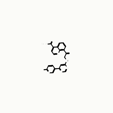 C=C(CNc1cc(-c2ccc(C)nc2)ncn1)c1cccc2c(C(=O)NC)ccnc12